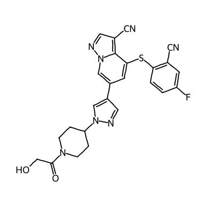 N#Cc1cc(F)ccc1Sc1cc(-c2cnn(C3CCN(C(=O)CO)CC3)c2)cn2ncc(C#N)c12